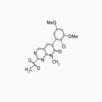 COc1cc(OC)c(Cl)c(-c2cc3cnc(S(C)(=O)=O)nc3n(C)c2=O)c1